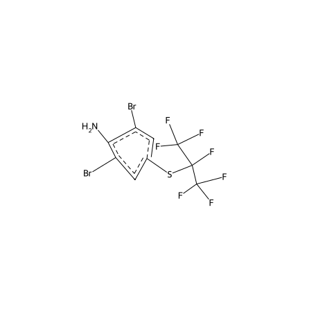 Nc1c(Br)cc(SC(F)(C(F)(F)F)C(F)(F)F)cc1Br